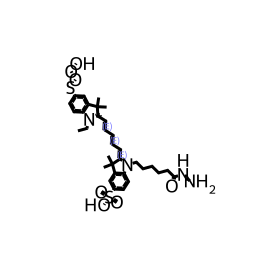 CC[N+]1=C(/C=C/C=C/C=C2/N(CCCCCC(=O)NN)c3ccc(S(=O)(=O)O)cc3C2(C)C)C(C)(C)c2cc(SOOO)ccc21